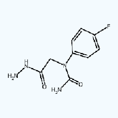 NNC(=O)CN(C(N)=O)c1ccc(F)cc1